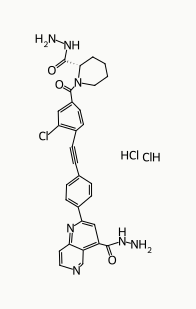 Cl.Cl.NNC(=O)c1cc(-c2ccc(C#Cc3ccc(C(=O)N4CCCC[C@H]4C(=O)NN)cc3Cl)cc2)nc2ccncc12